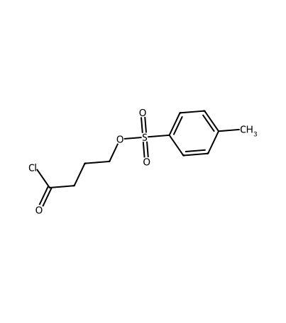 Cc1ccc(S(=O)(=O)OCCCC(=O)Cl)cc1